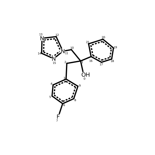 OC(Cc1ccc(F)cc1)(Cn1cncn1)c1ccccc1